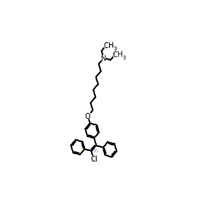 CCN(CC)CCCCCCCCOc1ccc(/C(=C(/Cl)c2ccccc2)c2ccccc2)cc1